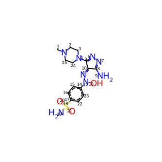 CN1CCN(C2=NN=C(N)C2=NN(O)c2ccc(S(N)(=O)=O)cc2)CC1